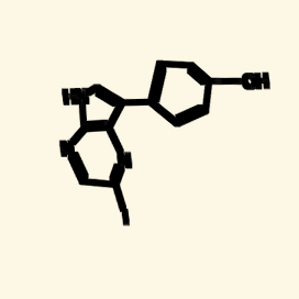 Oc1ccc(-c2c[nH]c3ncc(I)nc23)cc1